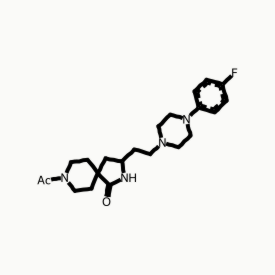 CC(=O)N1CCC2(CC1)CC(CCN1CCN(c3ccc(F)cc3)CC1)NC2=O